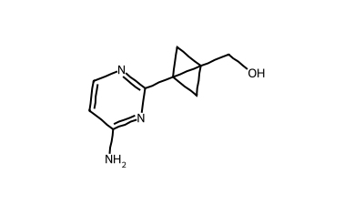 Nc1ccnc(C23CC2(CO)C3)n1